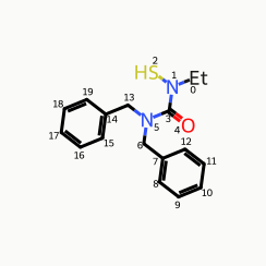 CCN(S)C(=O)N(Cc1ccccc1)Cc1ccccc1